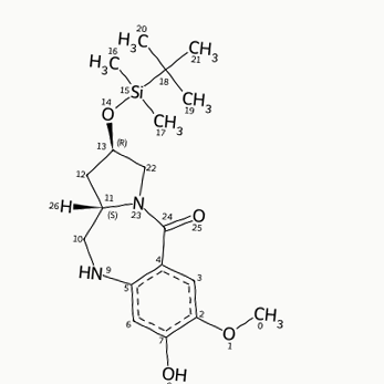 COc1cc2c(cc1O)NC[C@@H]1C[C@@H](O[Si](C)(C)C(C)(C)C)CN1C2=O